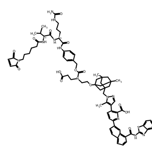 Cc1c(-c2ccc(-c3ccc4cccc(C(=O)Nc5nc6ccccc6s5)c4c3)nc2C(=O)O)cnn1CC12CC3(C)CC(C)(C1)CC(OCCN(CCC(=O)O)C(=O)OCc1ccc(NC(=O)[C@H](CCCNC(N)=O)NC(=O)[C@@H](NC(=O)CCCCCN4C(=O)C=CC4=O)C(C)C)cc1)(C3)C2